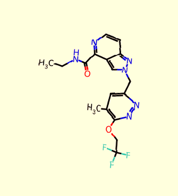 CCNC(=O)c1nccc2nn(Cc3cc(C)c(OCC(F)(F)F)nn3)cc12